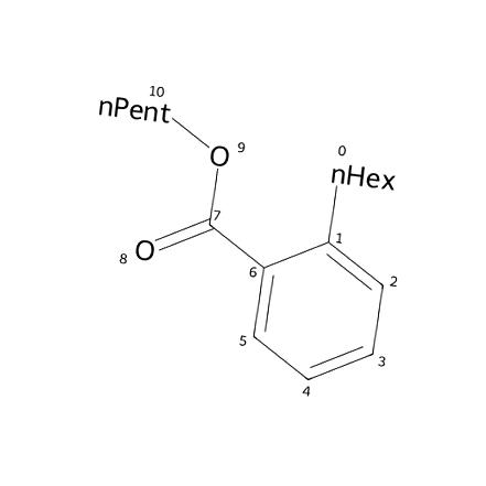 CCCCCCc1ccccc1C(=O)OCCCCC